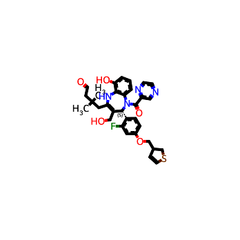 CC(C)(CC=O)CC1=C(CO)[C@@H](c2ccc(OCC3C=CSC3)cc2F)N(C(=O)c2cnccn2)c2cccc(O)c2N1